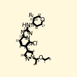 CCOC(C)n1cc(-c2ccc3nc(N[C@H]4CCOC[C@H]4F)nn3c2Cl)cn1